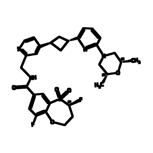 C[C@@H]1CN(c2cccc([C@H]3C[C@H](c4ccnc(CNC(=O)c5cc(F)c6c(c5)S(=O)(=O)[C@@H](F)CCO6)c4)C3)n2)C[C@H](C)O1